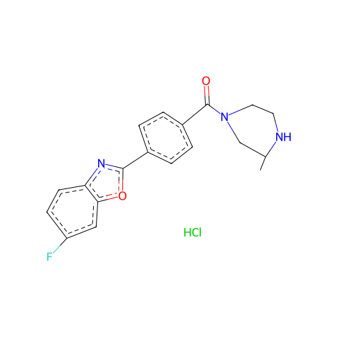 CC1CN(C(=O)c2ccc(-c3nc4ccc(F)cc4o3)cc2)CCN1.Cl